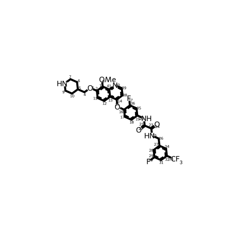 COc1c(OCC2CCNCC2)ccc2c(Oc3ccc(NC(=O)C(=O)NCc4cc(F)cc(C(F)(F)F)c4)cc3F)ccnc12